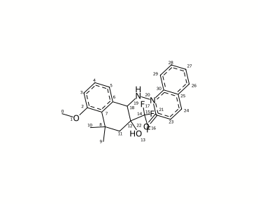 COc1cccc2c1C(C)(C)CC(O)(C(F)(F)F)C2Nn1c(=O)ccc2ccccc21